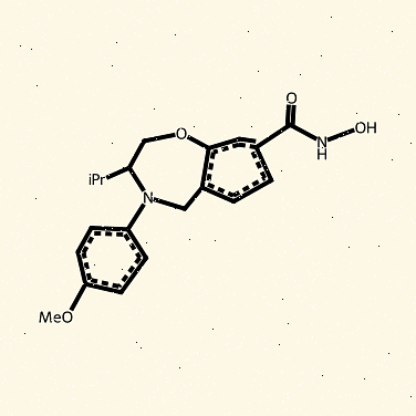 COc1ccc(N2Cc3ccc(C(=O)NO)cc3OCC2C(C)C)cc1